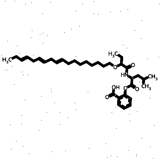 CCC=CCC=CCC=CCCCCCCCCOC(CC)C(=O)NC(CC(C)C)C(=O)Oc1ccccc1C(=O)O